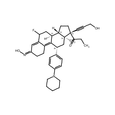 CCC(=O)[C@@]1(C#CCO)CC[C@H]2[C@@H]3CC(F)C4=CC(=NO)CCC4=C3[C@@H](c3ccc(N4CCCCC4)cc3)C[C@@]21C